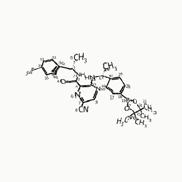 C[C@H](NC(=O)c1nc(C#N)cnc1N[C@H](C)c1ccc(B2OC(C)(C)C(C)(C)O2)cc1)c1ccc(F)cc1